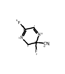 N#CC1(F)CN=C(F)C=N1